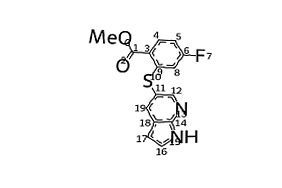 COC(=O)c1ccc(F)cc1Sc1cnc2[nH]ccc2c1